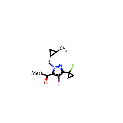 COC(=O)c1c(I)c(C2(F)CC2)nn1C[C@@H]1C[C@H]1C(F)(F)F